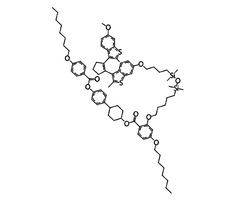 CCCCCCCCOc1ccc(C(=O)Oc2ccc(C3CCC(OC(=O)c4ccc(OCCCCCCCC)cc4OCCCCC[Si](C)(C)O[Si](C)(C)CCCCOc4ccc5c(C6=C(c7c(C)sc8cc(OC)ccc78)CCC6)c(C)sc5c4)CC3)cc2)cc1